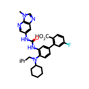 CC(C)CN(c1ccc(-c2cc(F)ccc2C(=O)O)cc1NC(=O)Nc1cnc2c(c1)ncn2C)C1CCCCC1